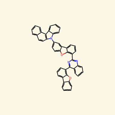 c1ccc2c(c1)ccc1c2c2ccccc2n1-c1ccc2oc3c(-c4nc(-c5cccc6c5oc5ccccc56)c5ccccc5n4)cccc3c2c1